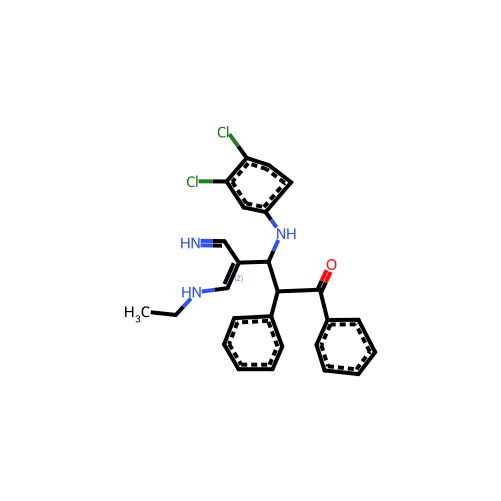 CCN/C=C(\C=N)C(Nc1ccc(Cl)c(Cl)c1)C(C(=O)c1ccccc1)c1ccccc1